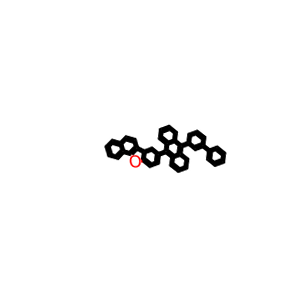 C1=CCC2C(=C1)C(C1=CC=C3Oc4c(ccc5ccccc45)C3C1)=C1C=CCCC1=C2C1C=C(c2ccccc2)C=CC1